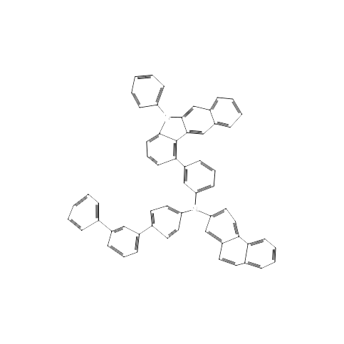 c1ccc(-c2cccc(-c3ccc(N(c4cccc(-c5cccc6c5c5cc7ccccc7cc5n6-c5ccccc5)c4)c4ccc5c(ccc6ccccc65)c4)cc3)c2)cc1